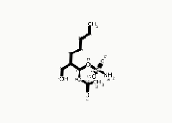 CCCCCC(CO)[C@H](OC(C)=O)OS(N)(=O)=O